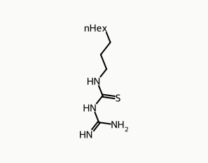 CCCCCCCCCNC(=S)NC(=N)N